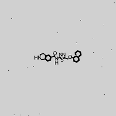 O=C(Nc1nnc(COc2cccc3ccccc23)s1)c1ccc2c(c1)CCNC2